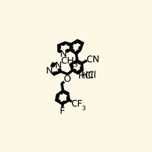 Cl.Cl.Cn1cncc1C(OCc1ccc(F)c(C(F)(F)F)c1)c1ccc(C#N)c(-c2cccc3cccnc23)c1